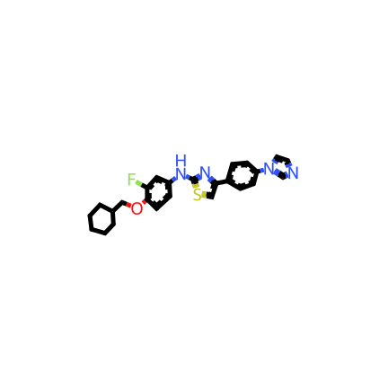 Fc1cc(Nc2nc(-c3ccc(-n4ccnc4)cc3)cs2)ccc1OCC1CCCCC1